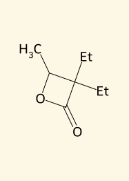 CCC1(CC)C(=O)OC1C